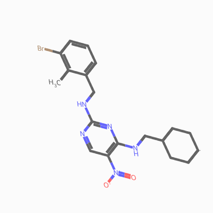 Cc1c(Br)cccc1CNc1ncc([N+](=O)[O-])c(NCC2CC[CH]CC2)n1